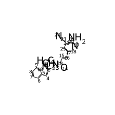 CN(Cc1cc2ccccc2n1C)C(=O)/C=C/c1cnc(N)c(C#N)c1